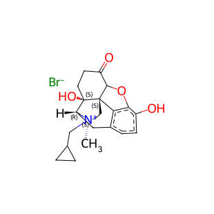 C[N@@+]1(CC2CC2)CC[C@]23c4c5ccc(O)c4OC2C(=O)CC[C@@]3(O)[C@H]1C5.[Br-]